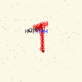 CCC1CC(C(=O)NCCNC(=O)COCCOCCOCCOCCOCCOCCOCC(=O)OCc2ccccc2)C[C@@H](O[C@@H]2OC(CO)[C@H](O)C(O[C@@H](CC3CCCCC3)C(=O)O)C2NC(C)=O)C1O[C@@H]1OC(C)[C@@H](O)C(O)C1O